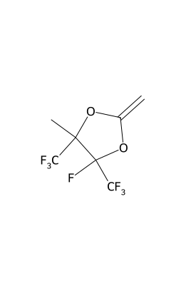 C=C1OC(C)(C(F)(F)F)C(F)(C(F)(F)F)O1